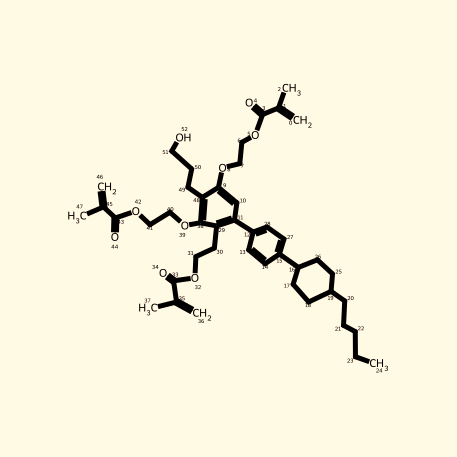 C=C(C)C(=O)OCCOc1cc(-c2ccc(C3CCC(CCCCC)CC3)cc2)c(CCOC(=O)C(=C)C)c(OCCOC(=O)C(=C)C)c1CCCO